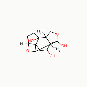 CC12COC3(O)C4O[C@H]5CCC1(O)C45CC(O)C32C